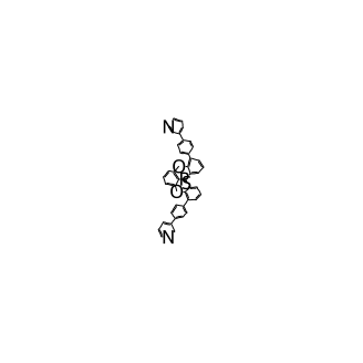 S=P12c3cccc(-c4ccc(-c5cccnc5)cc4)c3Oc3cccc(c31)Oc1c(-c3ccc(-c4cccnc4)cc3)cccc12